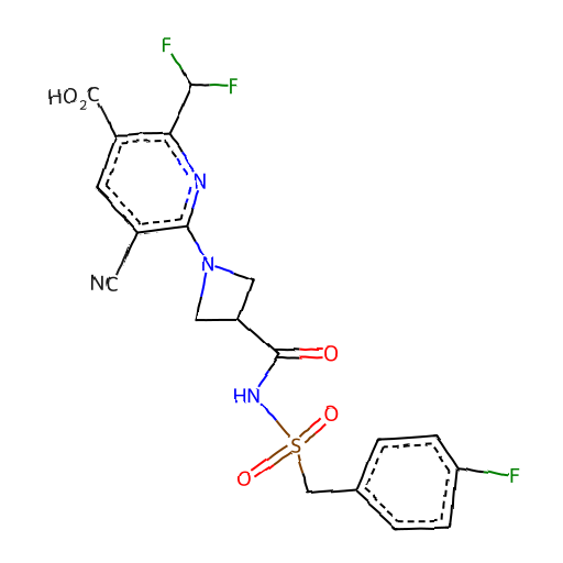 N#Cc1cc(C(=O)O)c(C(F)F)nc1N1CC(C(=O)NS(=O)(=O)Cc2ccc(F)cc2)C1